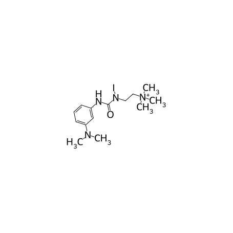 CN(C)c1cccc(NC(=O)N(I)CC[N+](C)(C)C)c1